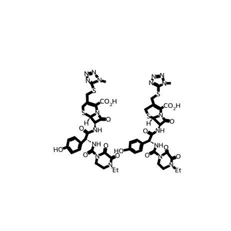 CCN1CCN(C(=O)N[C@@H](C(=O)N[C@@H]2C(=O)N3C(C(=O)O)=C(CSc4nnnn4C)CS[C@H]23)c2ccc(O)cc2)C(=O)C1=O.CCN1CCN(C(=O)N[C@@H](C(=O)N[C@@H]2C(=O)N3C(C(=O)O)=C(CSc4nnnn4C)CS[C@H]23)c2ccc(O)cc2)C(=O)C1=O